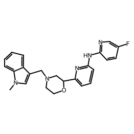 Cn1cc(CN2CCOC(c3cccc(Nc4ccc(F)cn4)n3)C2)c2ccccc21